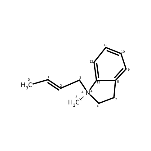 CC=CC[N@+]1(C)CCc2ccccc21